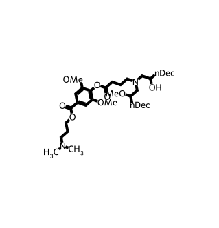 CCCCCCCCCCC(O)CN(CCCC(=O)Oc1c(OC)cc(C(=O)OCCCN(C)C)cc1OC)CC(CCCCCCCCCC)OC